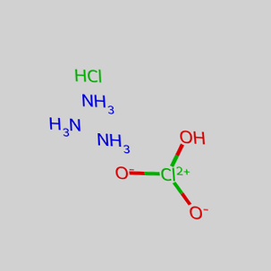 Cl.N.N.N.[O-][Cl+2]([O-])O